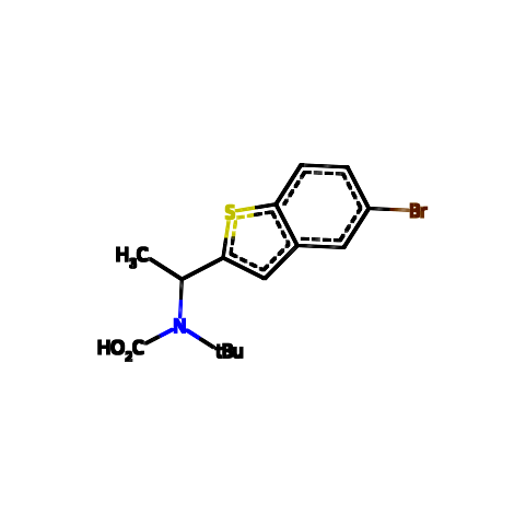 CC(c1cc2cc(Br)ccc2s1)N(C(=O)O)C(C)(C)C